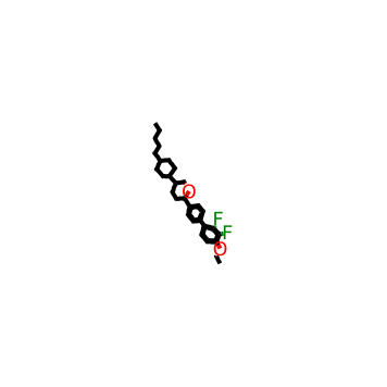 CCCCCC1CCC(C2CCC(c3ccc(-c4ccc(OCC)c(F)c4F)cc3)OC2)CC1